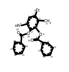 CCCc1cc(CC)c(C)c(OC(=O)c2ccccc2)c1OC(=O)c1ccccc1